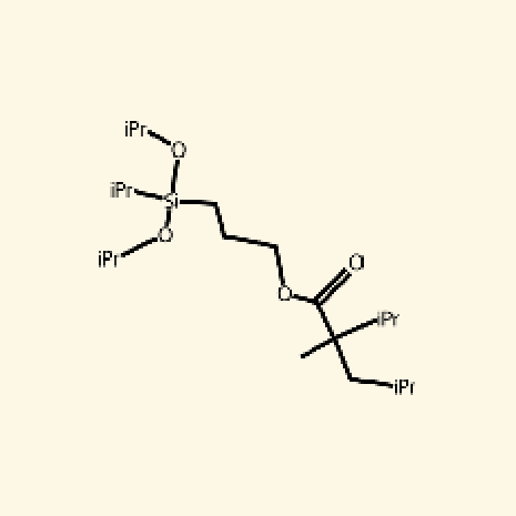 CC(C)CC(C)(C(=O)OCCC[Si](OC(C)C)(OC(C)C)C(C)C)C(C)C